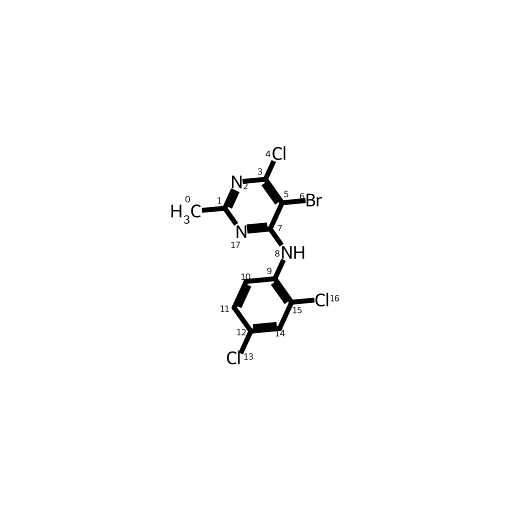 Cc1nc(Cl)c(Br)c(Nc2ccc(Cl)cc2Cl)n1